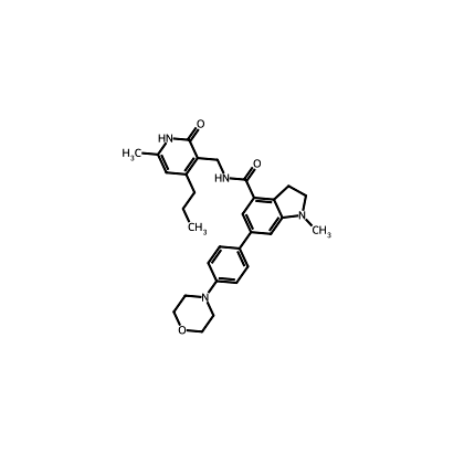 CCCc1cc(C)[nH]c(=O)c1CNC(=O)c1cc(-c2ccc(N3CCOCC3)cc2)cc2c1CCN2C